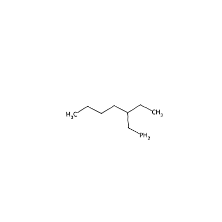 CCCCC(CC)CP